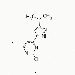 CC(C)c1cc(-c2ccnc(Cl)n2)[nH]n1